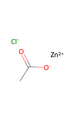 CC(=O)[O-].[Cl-].[Zn+2]